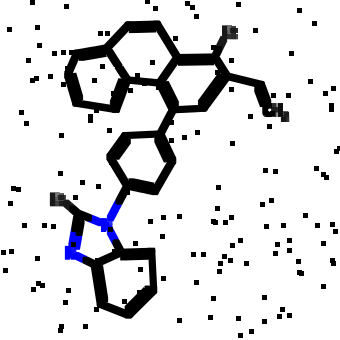 C=Cc1cc(-c2ccc(-n3c(CC)nc4ccccc43)cc2)c2c(ccc3ccccc32)c1CC